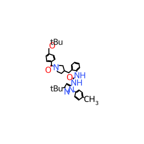 Cc1ccc(-n2nc(C(C)(C)C)cc2NC(=O)Nc2ccccc2CC2CCN(C(=O)c3ccc(COC(C)(C)C)cc3)CC2)cc1